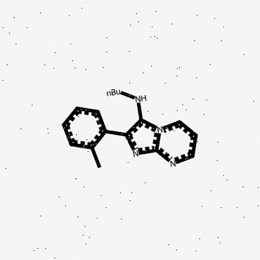 CCCCNc1c(-c2ccccc2C)nc2ncccn12